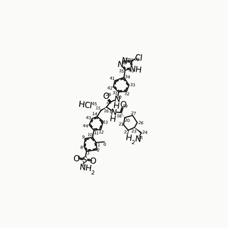 Cc1cc(S(N)(=O)=O)ccc1-c1ccc(C[C@H](NC(=O)[C@H]2CC[C@H](CN)CC2)C(=O)Nc2ccc(-c3nnc(Cl)[nH]3)cc2)cc1.Cl